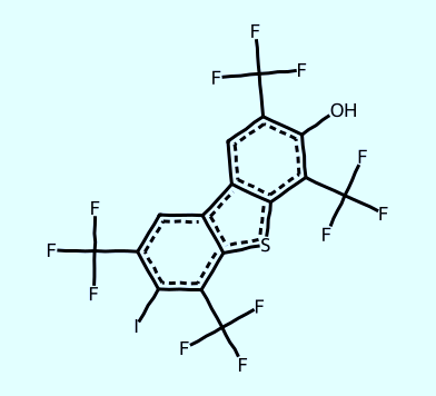 Oc1c(C(F)(F)F)cc2c(sc3c(C(F)(F)F)c(I)c(C(F)(F)F)cc32)c1C(F)(F)F